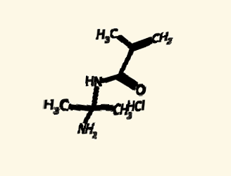 C=C(C)C(=O)NC(C)(C)N.Cl